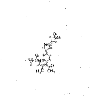 CC(=O)N1c2ccc(-c3cnn(C4CS(=O)(=O)C4)c3)cc2N(C(=O)C2CC2)C[C@@H]1C